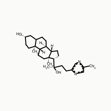 Cc1cnc(CC[C@@](C)(O)[C@H]2CC[C@H]3[C@@H]4CCC5C[C@@H](O)CC[C@]5(C)[C@H]4CC[C@@]32C)cn1